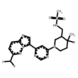 CC1(F)CCN(c2cc(-c3cnc4ccc(C(F)F)nn34)ncn2)CC1CNS(C)(=O)=O